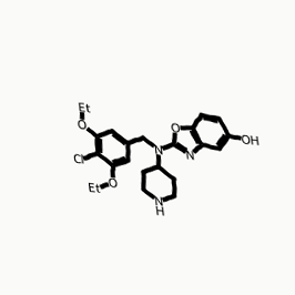 CCOc1cc(CN(c2nc3cc(O)ccc3o2)C2CCNCC2)cc(OCC)c1Cl